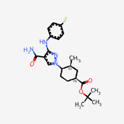 C[C@H]1C[C@@H](C(=O)OC(C)(C)C)CCC1n1cc(C(N)=O)c(Nc2ccc(F)cc2)n1